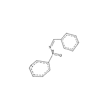 O=[PH](/N=C\c1ccccc1)c1ccccc1